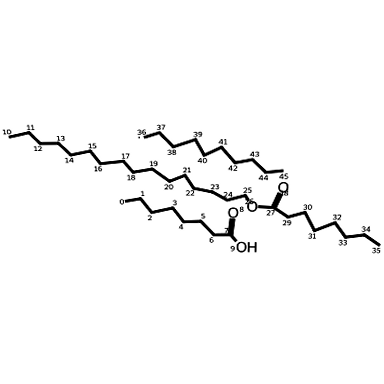 CCCCCCCC(=O)O.CCCCCCCCCCCCCCCCOC(=O)CCCCCCC.[CH2]CCCCCCCCC